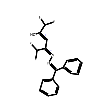 O/C(=C\C(=N\N=C(c1ccccc1)c1ccccc1)C(F)F)C(F)F